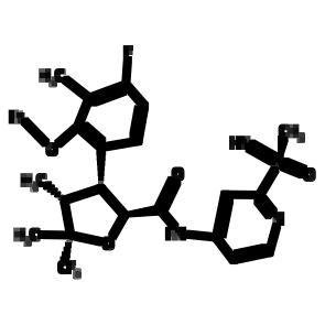 CCOc1c([C@@H]2[C@@H](C(=O)Nc3ccnc([S@](C)(=N)=O)c3)O[C@](C)(C(F)(F)F)[C@@H]2C)ccc(F)c1C